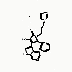 O=C1C(O)=C(c2c[nH]c3ccccc23)C(c2ccccn2)N1CCCn1ccnc1